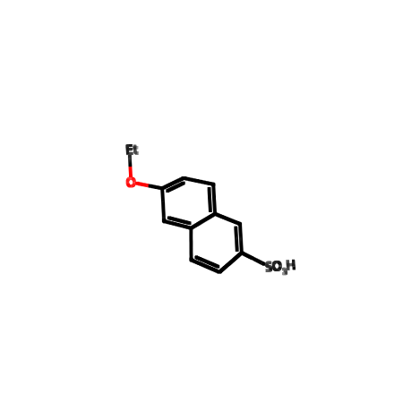 CCOc1ccc2cc(S(=O)(=O)O)ccc2c1